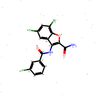 NC(=O)c1oc2c(Br)cc(F)cc2c1NC(=O)c1cccc(F)c1